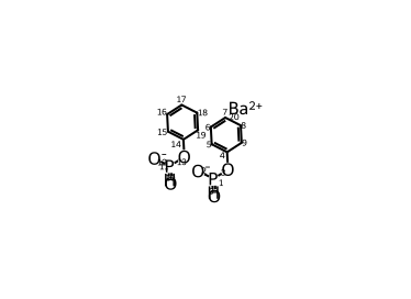 O=[PH]([O-])Oc1ccccc1.O=[PH]([O-])Oc1ccccc1.[Ba+2]